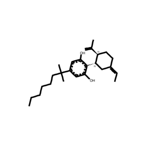 C=C(C)[C@H]1CCC(=CC)C[C@@H]1c1c(O)cc(C(C)(C)CCCCCC)cc1O